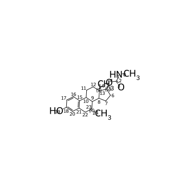 CNC(=O)O[C@H]1CCC2C3C(CC[C@@]21C)c1ccc(O)cc1C[C@H]3C